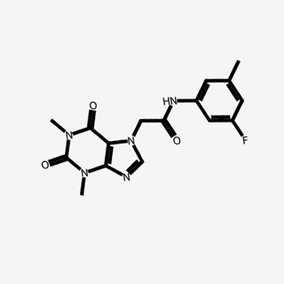 Cc1cc(F)cc(NC(=O)Cn2cnc3c2c(=O)n(C)c(=O)n3C)c1